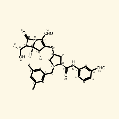 Cc1cc(C)cc(CN2C[C@@H](SC3=C(C=O)N4C(=O)[C@H]([C@@H](C)O)[C@H]4[C@H]3C)C[C@H]2C(=O)Nc2cccc(C=O)c2)c1